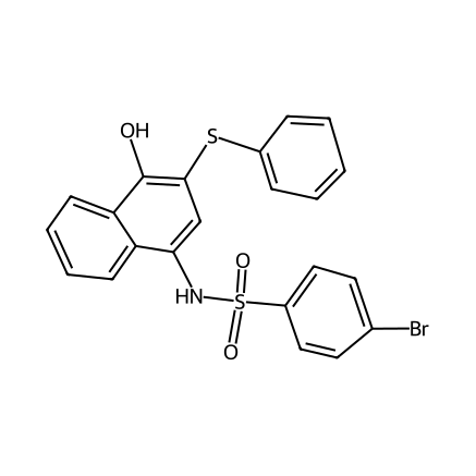 O=S(=O)(Nc1cc(Sc2ccccc2)c(O)c2ccccc12)c1ccc(Br)cc1